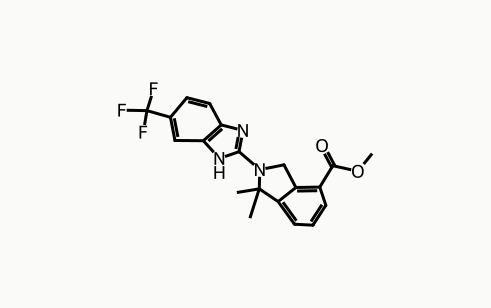 COC(=O)c1cccc2c1CN(c1nc3ccc(C(F)(F)F)cc3[nH]1)C2(C)C